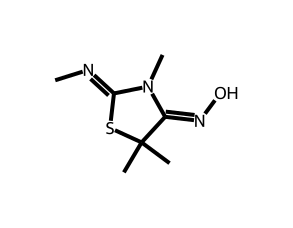 C/N=C1\SC(C)(C)/C(=N/O)N1C